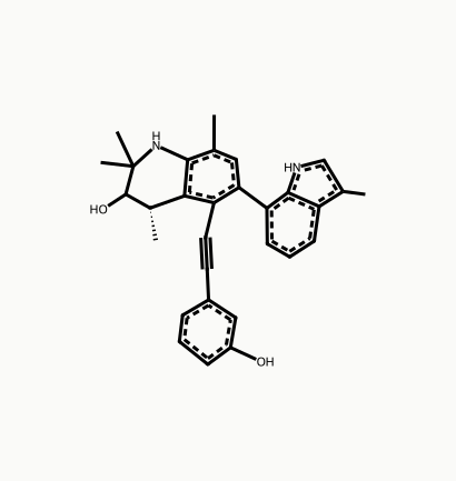 Cc1cc(-c2cccc3c(C)c[nH]c23)c(C#Cc2cccc(O)c2)c2c1NC(C)(C)C(O)[C@H]2C